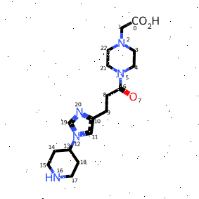 O=C(O)CN1CCN(C(=O)CCc2cn(C3CCNCC3)cn2)CC1